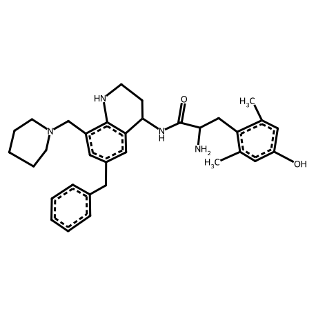 Cc1cc(O)cc(C)c1CC(N)C(=O)NC1CCNc2c(CN3CCCCC3)cc(Cc3ccccc3)cc21